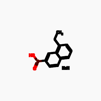 CCc1cccc2ccc(S(=O)O)cc12.[NaH]